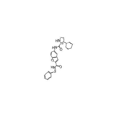 O=C(NSc1ccccc1)c1cc2cc(NC(=O)[C@H]3NCCC3C3CCCCC3)ccc2o1